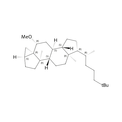 CO[C@@H]1C[C@H]2[C@@H]3CC[C@H]([C@H](C)CCCC(C)(C)C)[C@@]3(C)CC[C@@H]2[C@@]2(C)CC[C@H]3C[C@]312